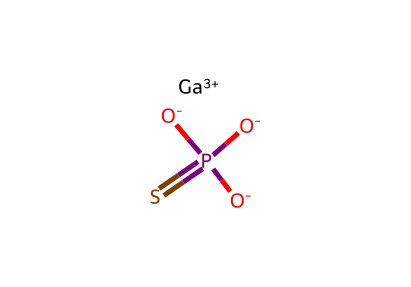 [Ga+3].[O-]P([O-])([O-])=S